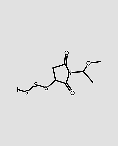 COC(C)N1C(=O)CC(SSSI)C1=O